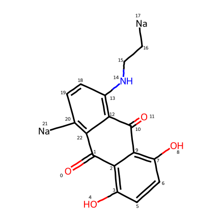 O=C1c2c(O)ccc(O)c2C(=O)c2c(NC[CH2][Na])cc[c]([Na])c21